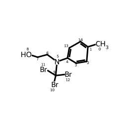 Cc1ccc(N(CCO)C(Br)(Br)Br)cc1